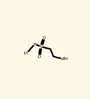 CCCCCCS(=O)(=O)[N]CC